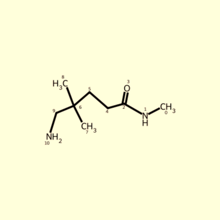 CNC(=O)CCC(C)(C)CN